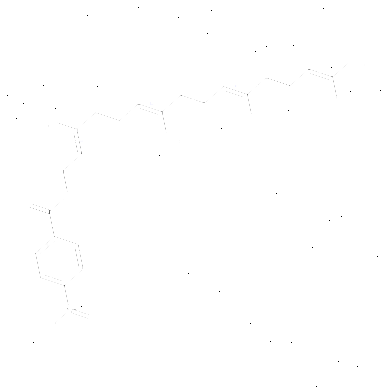 CC(C)=CCC/C(C)=C/CC/C(C)=C/CC/C(C)=C/COC(=O)c1ccc([N+](=O)[O-])cc1